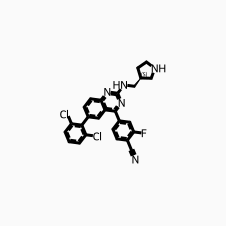 N#Cc1ccc(-c2nc(NC[C@H]3CCNC3)nc3ccc(-c4c(Cl)cccc4Cl)cc23)cc1F